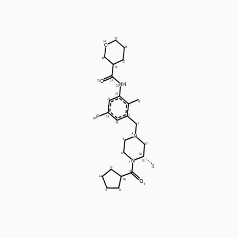 Cc1c(CN2CCN(C(=O)C3CCCC3)[C@@H](C)C2)cc(F)cc1NC(=O)C1CCCOC1